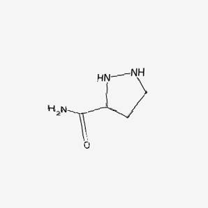 NC(=O)C1CCNN1